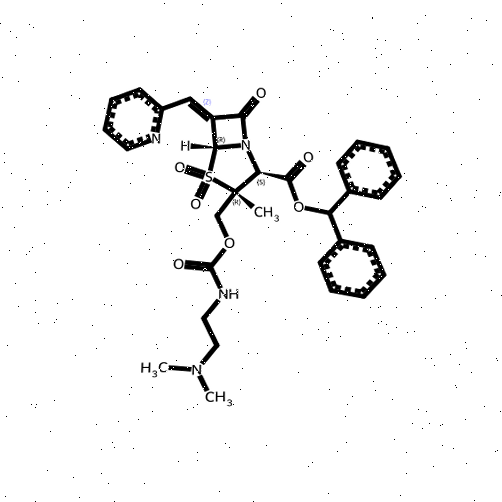 CN(C)CCNC(=O)OC[C@@]1(C)[C@H](C(=O)OC(c2ccccc2)c2ccccc2)N2C(=O)/C(=C/c3ccccn3)[C@H]2S1(=O)=O